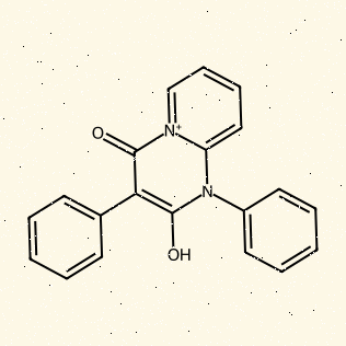 O=c1c(-c2ccccc2)c(O)n(-c2ccccc2)c2cccc[n+]12